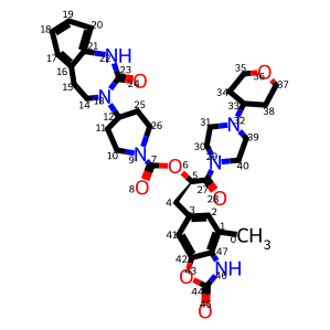 Cc1cc(C[C@@H](OC(=O)N2CCC(N3CCc4ccccc4NC3=O)CC2)C(=O)N2CCN(C3CCOCC3)CC2)cc2oc(=O)[nH]c12